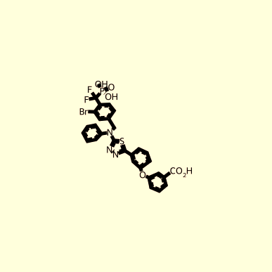 O=C(O)c1cccc(Oc2cccc(-c3nnc(N(Cc4ccc(C(F)(F)P(=O)(O)O)c(Br)c4)c4ccccc4)s3)c2)c1